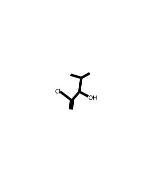 C=C(Cl)C(O)C(C)C